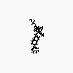 COCCCNS(=O)(=O)/C(C#N)=C/c1ccc2cc(N3CCOCC3)ccc2c1